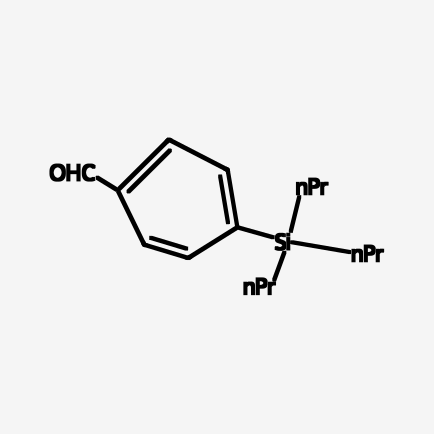 CCC[Si](CCC)(CCC)c1ccc(C=O)cc1